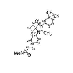 C=C1N(c2ccc(C#N)c(C(F)(F)F)c2)C(=O)C2(CCC2)N1c1ccc(CCC(=O)NC)cc1